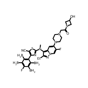 Bc1c(B)c(-c2nc(N(C)c3c(CC)nn4cc(F)c(N5CCN(CC(=O)N6CC(O)C6)CC5)cc34)sc2C#N)c(B)c(B)c1F